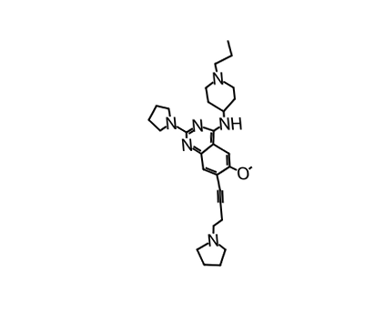 CCCN1CCC(Nc2nc(N3CCCC3)nc3cc(C#CCCN4CCCC4)c(OC)cc23)CC1